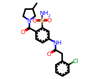 CC1CCN(C(=O)c2ccc(NC(=O)Cc3ccccc3Cl)cc2S(N)(=O)=O)C1